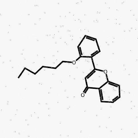 CCCCCCOc1ccccc1-c1cc(=O)c2ccccc2o1